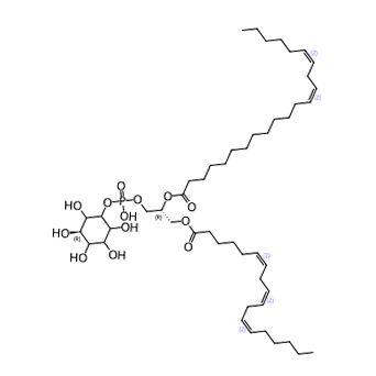 CCCCC/C=C\C/C=C\C/C=C\CCCCC(=O)OC[C@H](COP(=O)(O)OC1C(O)C(O)C(O)[C@@H](O)C1O)OC(=O)CCCCCCCCCCC/C=C\C/C=C\CCCCC